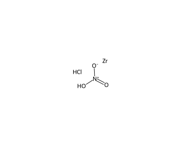 Cl.O=[N+]([O-])O.[Zr]